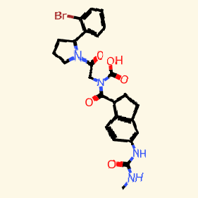 CNC(=O)Nc1ccc2c(c1)CCC2C(=O)N(CC(=O)N1CCCC1c1ccccc1Br)C(=O)O